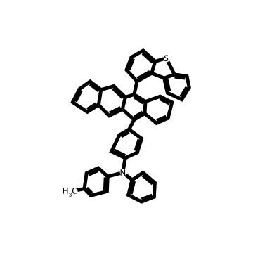 Cc1ccc(N(c2ccccc2)c2ccc(-c3c4ccccc4c(-c4cccc5sc6ccccc6c45)c4cc5ccccc5cc34)cc2)cc1